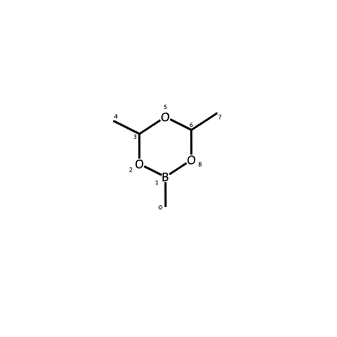 CB1OC(C)OC(C)O1